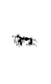 CC(C)C(NC(=O)CN)C(=O)N[C@@H](CCCNC(N)=O)C(=O)Nc1ccc(COC(=O)N(C)CCN(C)C(=O)O)cc1